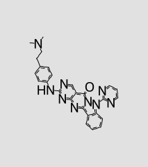 CN(C)CCc1ccc(Nc2ncc3c(=O)n4c(nc3n2)c2ccccc2n4-c2ncccn2)cc1